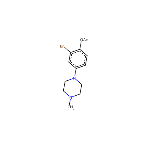 CC(=O)Oc1ccc(N2CCN(C)CC2)cc1Br